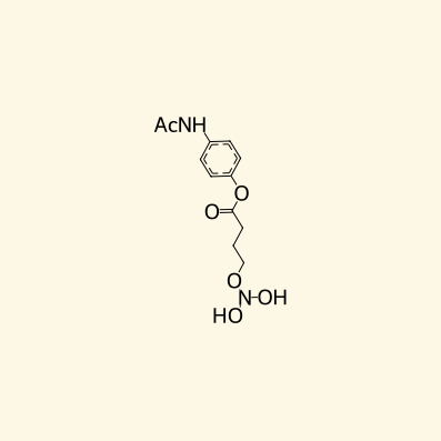 CC(=O)Nc1ccc(OC(=O)CCCON(O)O)cc1